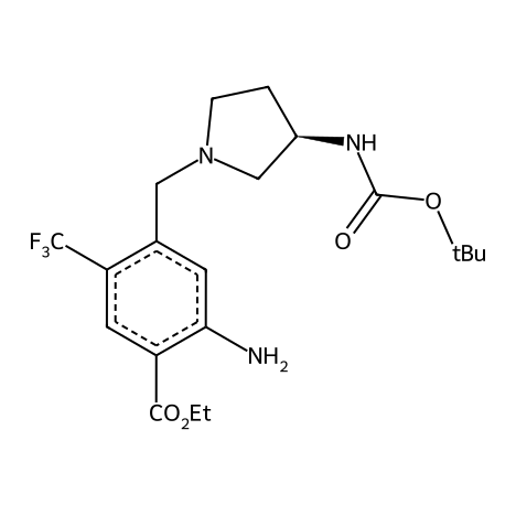 CCOC(=O)c1cc(C(F)(F)F)c(CN2CC[C@@H](NC(=O)OC(C)(C)C)C2)cc1N